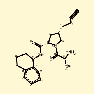 C#CCO[C@H]1C[C@@H](C(=O)N[C@@H]2CCCc3ccccc32)N(C(=O)[C@@H](N)C(C)(C)C)C1